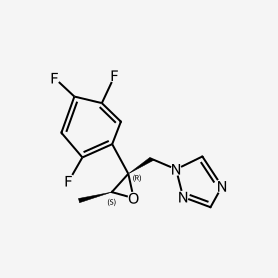 C[C@@H]1O[C@@]1(Cn1cncn1)c1cc(F)c(F)cc1F